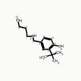 CC(C)(C)c1cc(CNCCCO)ccc1O